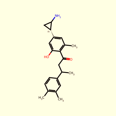 Cc1ccc(C(C)CC(=O)c2c(C)cc([C@@H]3CC3N)cc2O)cc1C